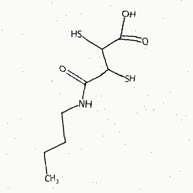 CCCCNC(=O)C(S)C(S)C(=O)O